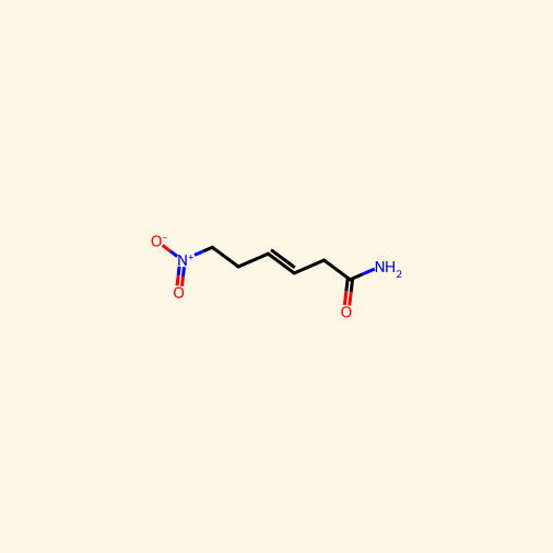 NC(=O)CC=CCC[N+](=O)[O-]